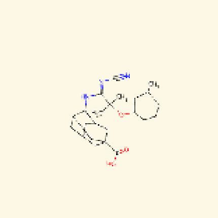 CC1CCCC(OC(C)(C)/C(=N\C#N)NC2C3CC4CC2CC(C(=O)O)(C4)C3)C1